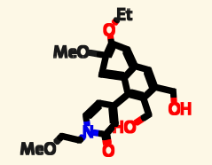 CCOc1cc2cc(CO)c(CO)c(-c3ccn(CCOC)c(=O)c3)c2cc1OC